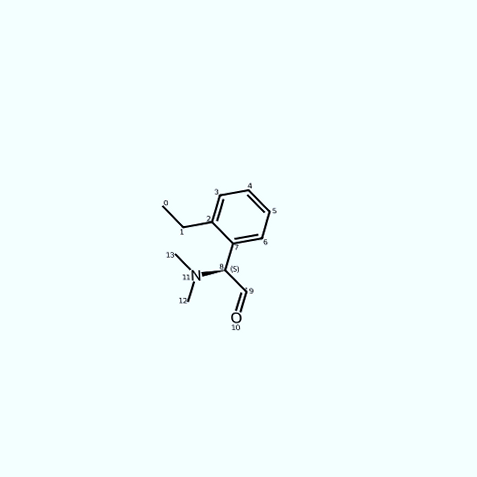 CCc1ccccc1[C@@H]([C]=O)N(C)C